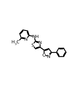 Cc1cccc(Nc2nc(-c3cc(-c4ccccc4)no3)cs2)n1